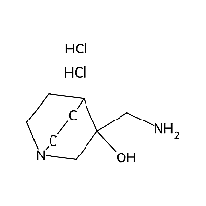 Cl.Cl.NCC1(O)CN2CCC1CC2